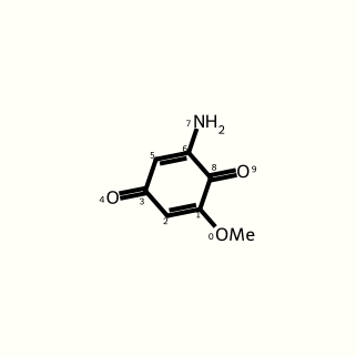 COC1=CC(=O)C=C(N)C1=O